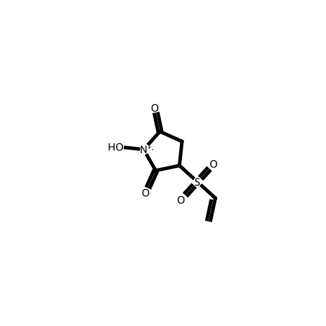 C=CS(=O)(=O)C1CC(=O)[N+](O)C1=O